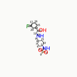 CS(=O)(=O)NC1CCC(CNC[C@H](O)c2cccc(F)c2)CC1